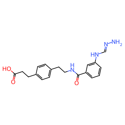 NN=CNc1cccc(C(=O)NCCc2ccc(CCC(=O)O)cc2)c1